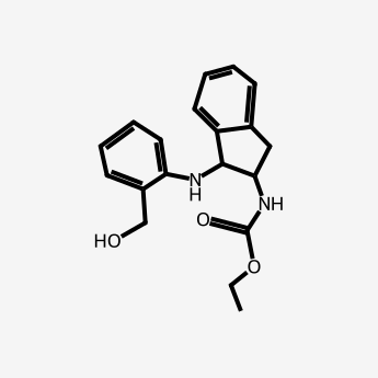 CCOC(=O)NC1Cc2ccccc2C1Nc1ccccc1CO